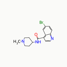 CN1CCC(NC(=O)c2ccnc3ccc(Br)cc23)CC1